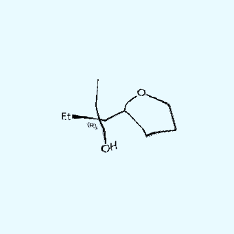 CC[C@@](O)(I)C1CCCO1